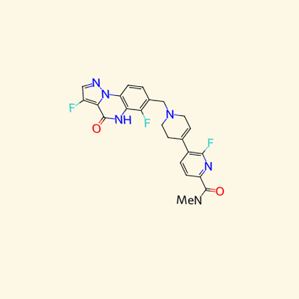 CNC(=O)c1ccc(C2=CCN(Cc3ccc4c([nH]c(=O)c5c(F)cnn54)c3F)CC2)c(F)n1